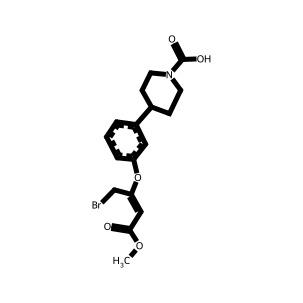 COC(=O)/C=C(\CBr)Oc1cccc(C2CCN(C(=O)O)CC2)c1